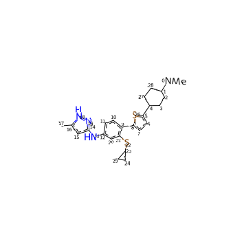 CNC1CCC(c2ccc(-c3ccc(Nc4cc(C)[nH]n4)cc3SC3CC3)s2)CC1